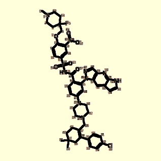 CN1CCC(F)(COc2ccc(S(=O)(=O)NC(=O)c3ccc(N4CCN(CC5=C(c6ccc(Cl)cc6)CC(C)(C)CC5)CC4)cc3-n3ncc4nc5[nH]ccc5cc43)cc2[N+](=O)[O-])CC1